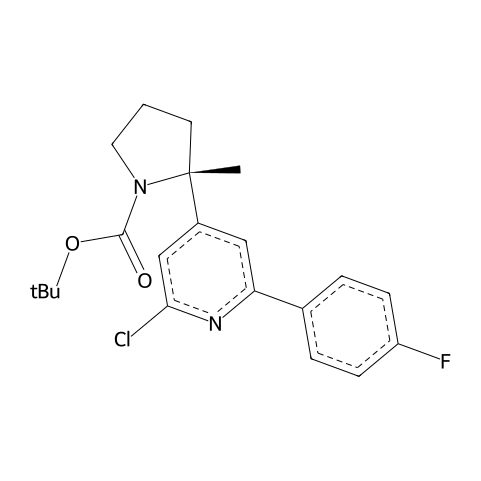 CC(C)(C)OC(=O)N1CCC[C@]1(C)c1cc(Cl)nc(-c2ccc(F)cc2)c1